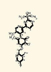 Cc1cnc(-c2ccnc([Si](C)(C)O)n2)cc1-n1c(C)cc(OCc2ncc(F)cc2F)c(Cl)c1=O